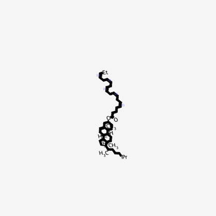 CC/C=C\C/C=C\C/C=C\C/C=C\C/C=C\CCCC(=O)O[C@H]1CC[C@@]2(C)C(=CC[C@H]3[C@@H]4CC[C@H]([C@H](C)CCCC(C)C)[C@@]4(C)CC[C@@H]32)C1